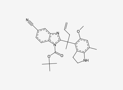 C=CCC(C)(c1c(OC)cc(C)c2c1CCN2)c1nc2cc(C#N)ccc2n1C(=O)OC(C)(C)C